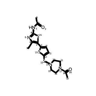 CC(=O)Nc1nc(C)c(-c2ccc(SN3CCN(C(C)=O)CC3)s2)s1